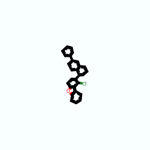 Clc1c(-c2cccc3cc(-c4ccccc4)ccc23)ccc2oc3ccccc3c12